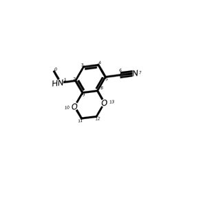 CNc1ccc(C#N)c2c1OCCO2